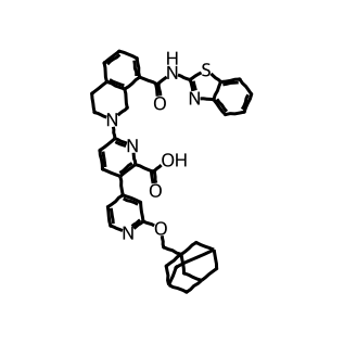 O=C(Nc1nc2ccccc2s1)c1cccc2c1CN(c1ccc(-c3ccnc(OCC45CC6CC(CC(C6)C4)C5)c3)c(C(=O)O)n1)CC2